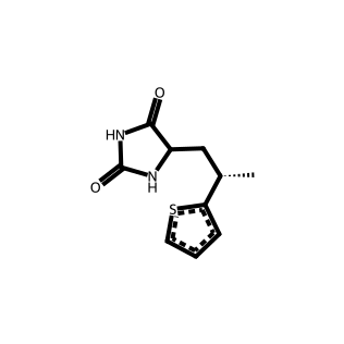 C[C@@H](CC1NC(=O)NC1=O)c1cccs1